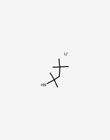 CC(C)(C)CC(C)(C)[NH-].[Li+]